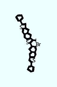 Brc1cc2cc3sc(-c4ccccc4)cc3cc2cc1-c1sc2cc3cc4sc(-c5ccccc5)cc4cc3cc2c1I